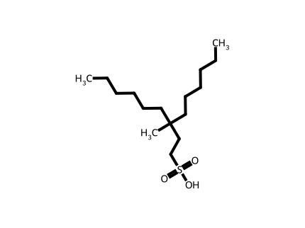 CCCCCCC(C)(CCCCCC)CCS(=O)(=O)O